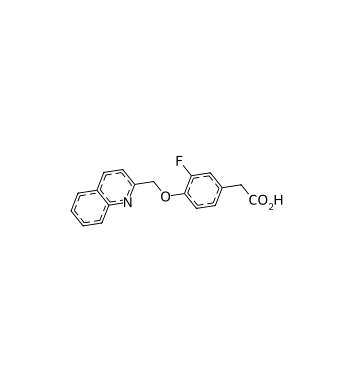 O=C(O)Cc1ccc(OCc2ccc3ccccc3n2)c(F)c1